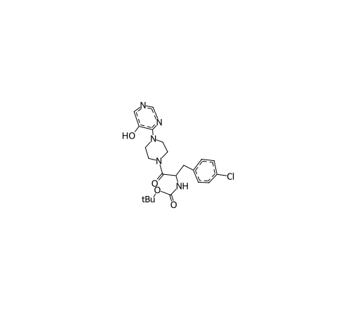 CC(C)(C)OC(=O)NC(Cc1ccc(Cl)cc1)C(=O)N1CCN(c2ncncc2O)CC1